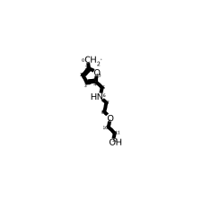 [CH2]c1ccc(CNCCOCCO)o1